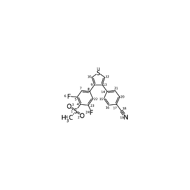 CS(=O)(=O)c1c(F)cc(-c2cscc2-c2ccc(C#N)cc2)cc1F